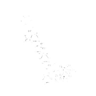 C[C@H]1[C@@H](N(C(=O)c2ccccc2)C2CCN(c3ccc(C(=O)NS(=O)(=O)c4ccc(NCC5CCCCC5)c([N+](=O)[O-])c4)cc3)CC2)C[C@@H]2C[C@@H]1C2(C)C